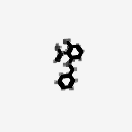 O=[N+]([O-])c1c(Cl)[c]ccc1OCc1ccccc1